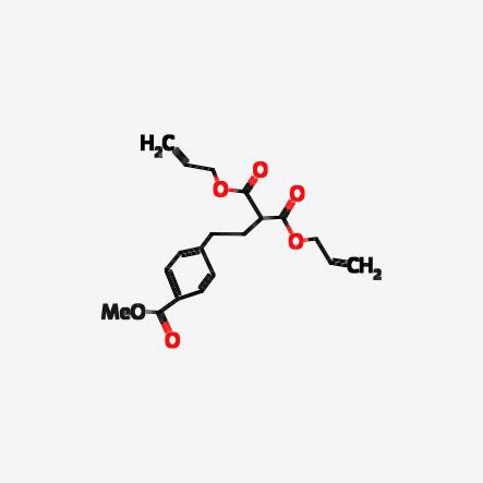 C=CCOC(=O)C(CCc1ccc(C(=O)OC)cc1)C(=O)OCC=C